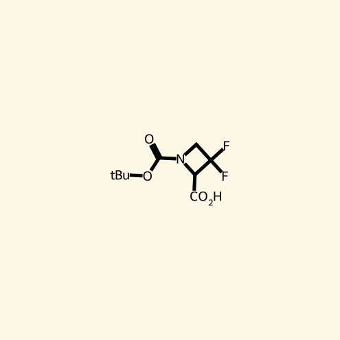 CC(C)(C)OC(=O)N1CC(F)(F)C1C(=O)O